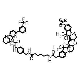 CC1(C)C2=C3C=C4C5=[N+](CCC4OC3CCN2c2ccc(CC(=O)NCCCCCC(=O)NCc3ccc(NC(=O)N4c6nc(-c7cccc(C(F)(F)F)c7)ccc6N6CCC[C@H]4C6)cc3)cc21)c1ccc(S(=O)(=O)[O-])cc1C5(C)C